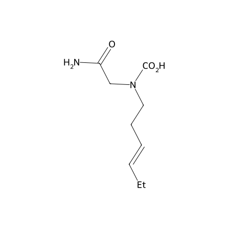 CC/C=C/CCN(CC(N)=O)C(=O)O